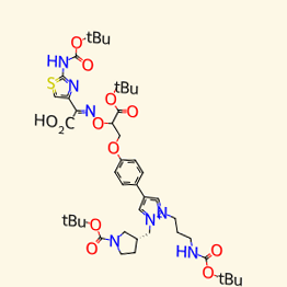 CC(C)(C)OC(=O)NCCCn1cc(-c2ccc(OCC(O/N=C(\C(=O)O)c3csc(NC(=O)OC(C)(C)C)n3)C(=O)OC(C)(C)C)cc2)c[n+]1C[C@@H]1CCN(C(=O)OC(C)(C)C)C1